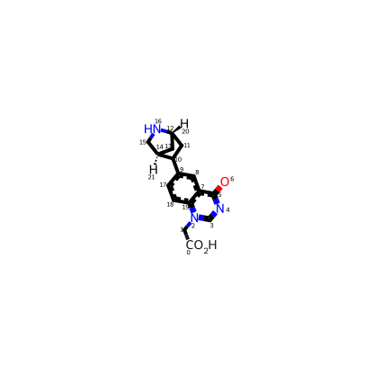 O=C(O)Cn1cnc(=O)c2cc(C3C[C@@H]4C[C@@H]3CN4)ccc21